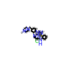 CN1CCN(Cc2ccc(Nc3ncc(Cl)c(Nc4ccccc4SN(C)C)n3)cc2)CC1